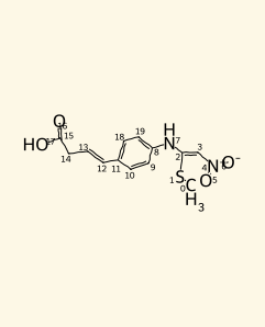 CSC(=C[N+](=O)[O-])Nc1ccc(C=CCC(=O)O)cc1